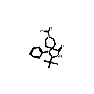 CC(C)(C)C1NC(=O)C2(CCN(C(=O)O)CC2)N1c1ccccc1